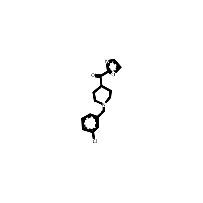 O=C(c1ncco1)C1CCN(Cc2cccc(Cl)c2)CC1